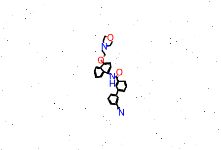 N#Cc1cccc(-c2cccc(C(=O)Nc3ccc(OCCN4CCOCC4)c4ccccc34)c2)c1